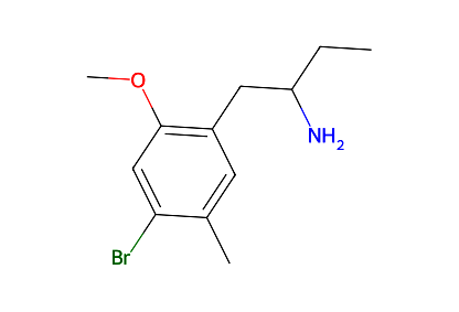 CCC(N)Cc1cc(C)c(Br)cc1OC